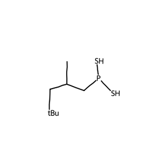 CC(CP(S)S)CC(C)(C)C